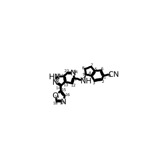 N#Cc1ccc2c(c1)CC[C@@H]2Nc1cc2c(-c3cnco3)n[nH]c2cn1